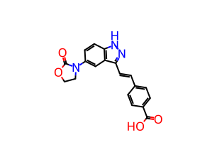 O=C(O)c1ccc(C=Cc2n[nH]c3ccc(N4CCOC4=O)cc23)cc1